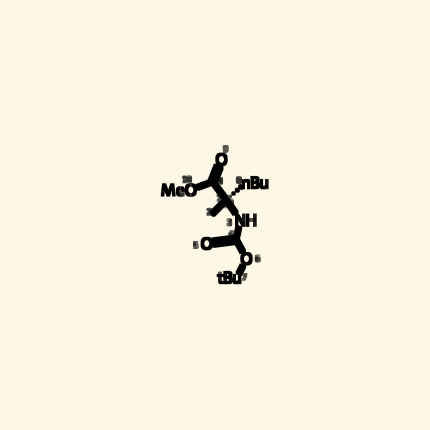 CCCC[C@@](C)(NC(=O)OC(C)(C)C)C(=O)OC